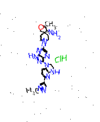 C[C@@H]1OCC2(CCN(c3cnc4c(N5CCNc6nc(-c7cnn(C)c7)ccc65)n[nH]c4n3)CC2)[C@@H]1N.Cl